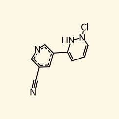 N#Cc1cncc(C2=CC=CN(Cl)N2)c1